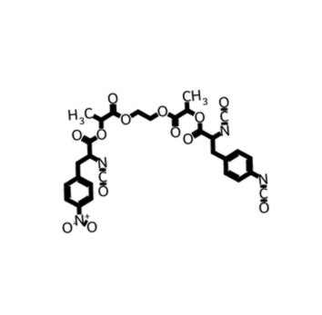 CC(OC(=O)C(Cc1ccc(N=C=O)cc1)N=C=O)C(=O)OCCOC(=O)C(C)OC(=O)C(Cc1ccc([N+](=O)[O-])cc1)N=C=O